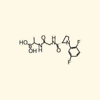 CC(NC(=O)CNC(=O)[C@@H]1CCN1c1cc(F)ccc1F)B(O)O